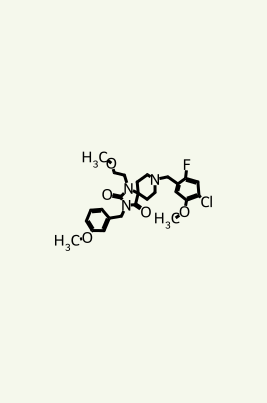 COCCN1C(=O)N(Cc2cccc(OC)c2)C(=O)C12CCN(Cc1cc(OC)c(Cl)cc1F)CC2